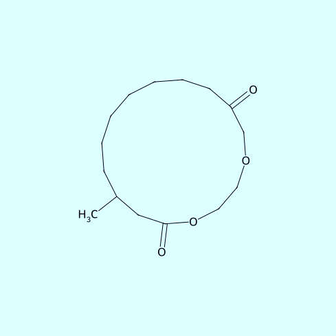 CC1CCCCCCCC(=O)COCCOC(=O)C1